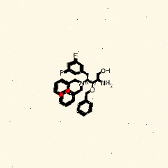 NC(CO)[C@@H](OCc1ccccc1)[C@H](Cc1cc(F)cc(F)c1)N(Cc1ccccc1)Cc1ccccc1